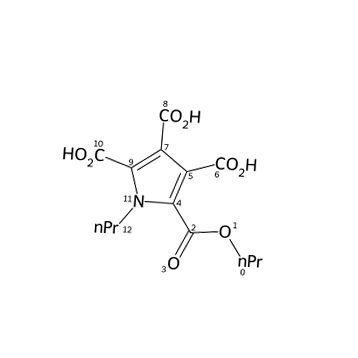 CCCOC(=O)c1c(C(=O)O)c(C(=O)O)c(C(=O)O)n1CCC